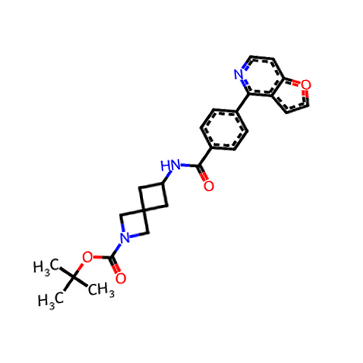 CC(C)(C)OC(=O)N1CC2(CC(NC(=O)c3ccc(-c4nccc5occc45)cc3)C2)C1